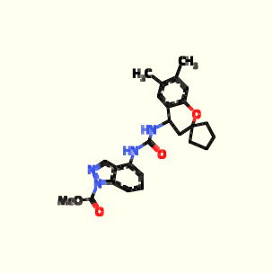 COC(=O)n1ncc2c(NC(=O)NC3CC4(CCCC4)Oc4cc(C)c(C)cc43)cccc21